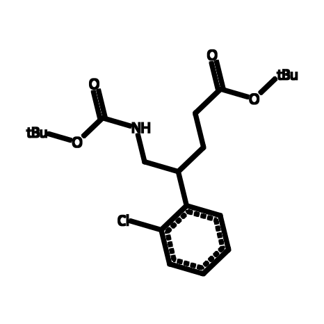 CC(C)(C)OC(=O)CCC(CNC(=O)OC(C)(C)C)c1ccccc1Cl